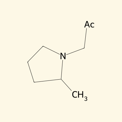 CC(=O)CN1CCCC1C